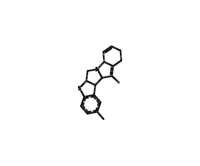 CC1=C2CCC=CC2N2CC3Sc4ccc(C)cc4C3C12